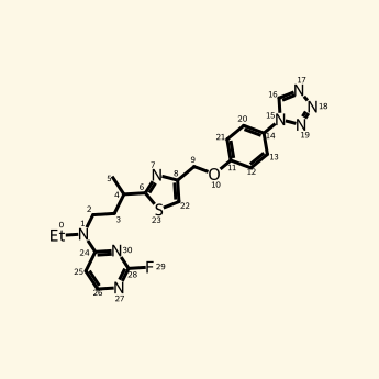 CCN(CCC(C)c1nc(COc2ccc(-n3cnnn3)cc2)cs1)c1ccnc(F)n1